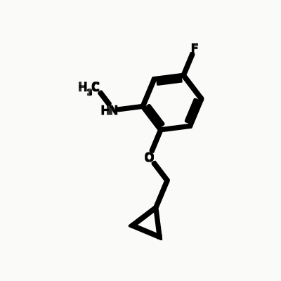 CNc1cc(F)ccc1OCC1CC1